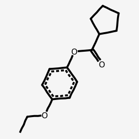 CCOc1ccc(OC(=O)C2CCCC2)cc1